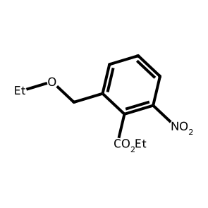 CCOCc1cccc([N+](=O)[O-])c1C(=O)OCC